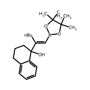 CCCC/C(=C\B1OC(C)(C)C(C)(C)O1)C1(O)CCCc2ccccc21